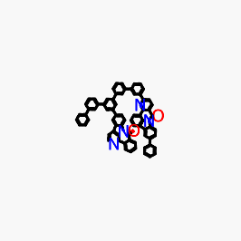 O=c1c2ccc(-c3cccc(-c4cccc(-c5cc(-c6cccc(-c7ccccc7)c6)cc(-c6ccc7c(c6)c6ccnc8c9ccccc9c(=O)n7c68)c5)c4)c3)nc2c2cccc3c4cc(-c5ccccc5)ccc4n1c32